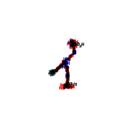 O=C(CCOCCOCCn1cc(COCCOCCO[C@]2(C(=O)O)C[C@H](O)[C@@H](NC(=O)CO)[C@H]([C@H](O)[C@H](O)CO)O2)nn1)NCCCC[C@H](NC(=O)CCCNC(=O)CCOCCOCCn1cc(COCCOCCO[C@]2(C(=O)O)C[C@H](O)[C@@H](NC(=O)CO)[C@H]([C@H](O)[C@H](O)CO)O2)nn1)C(=O)NCCOCCOCCOCCOCCC(=O)Oc1c(F)c(F)c(F)c(F)c1F